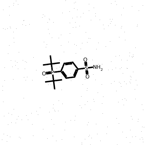 CC(C)(C)P(=O)(c1ccc(S(N)(=O)=O)cc1)C(C)(C)C